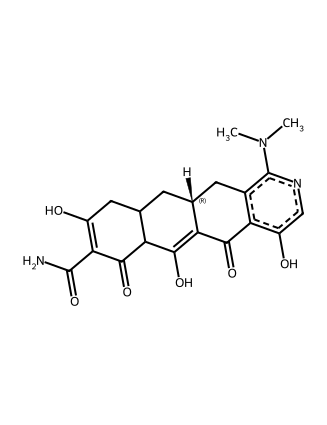 CN(C)c1ncc(O)c2c1C[C@H]1CC3CC(O)=C(C(N)=O)C(=O)C3C(O)=C1C2=O